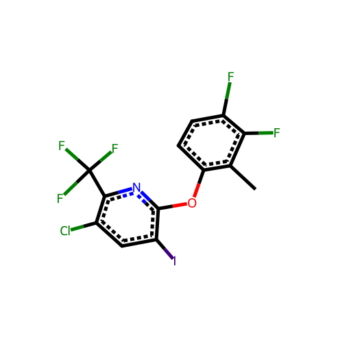 Cc1c(Oc2nc(C(F)(F)F)c(Cl)cc2I)ccc(F)c1F